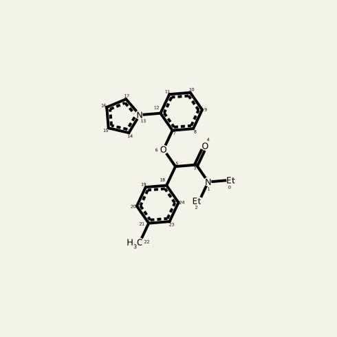 CCN(CC)C(=O)C(Oc1ccccc1-n1cccc1)c1ccc(C)cc1